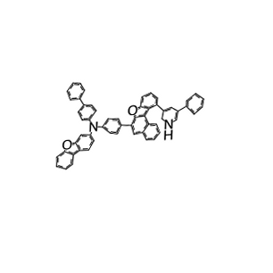 C1=C(c2ccccc2)C=C(c2cccc3oc4c(-c5ccc(N(c6ccc(-c7ccccc7)cc6)c6ccc7c(c6)oc6ccccc67)cc5)cc5ccccc5c4c23)CN1